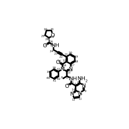 CC(NC(=O)c1c(N)ncn2ccnc12)c1nc2cccc(C#CCNC(=O)[C@H]3CCCO3)c2c(=O)n1-c1ccccc1